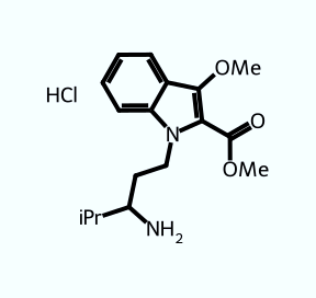 COC(=O)c1c(OC)c2ccccc2n1CCC(N)C(C)C.Cl